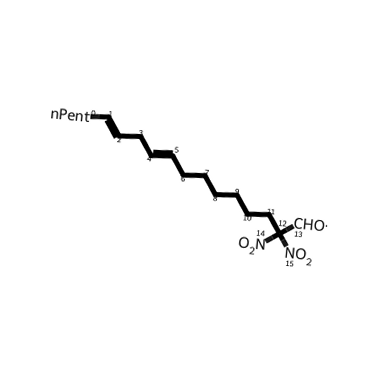 CCCCCC=CCC=CCCCCCCC([C]=O)([N+](=O)[O-])[N+](=O)[O-]